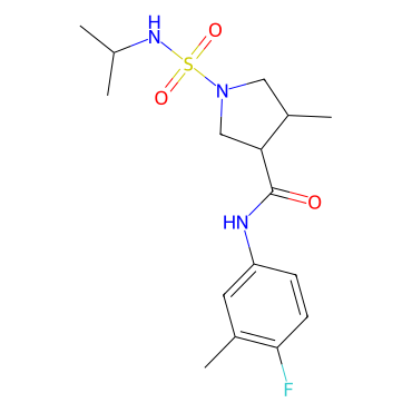 Cc1cc(NC(=O)C2CN(S(=O)(=O)NC(C)C)CC2C)ccc1F